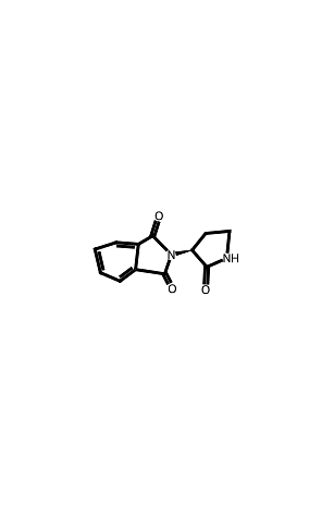 O=C1NCC[C@@H]1N1C(=O)c2ccccc2C1=O